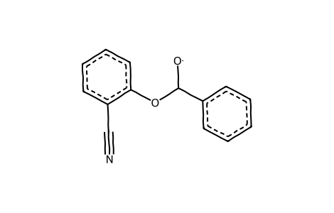 N#Cc1ccccc1OC([O])c1ccccc1